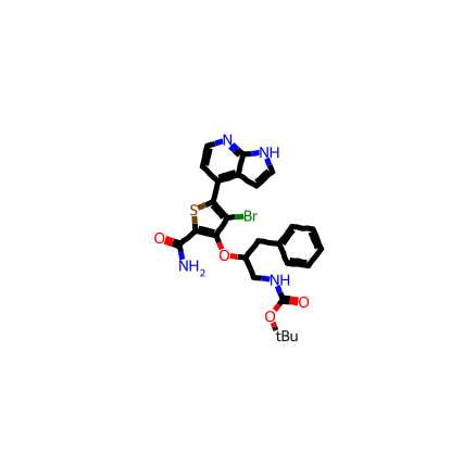 CC(C)(C)OC(=O)NCC(Cc1ccccc1)Oc1c(C(N)=O)sc(-c2ccnc3[nH]ccc23)c1Br